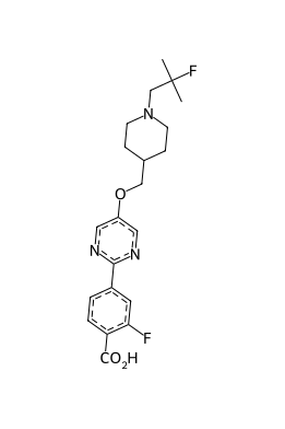 CC(C)(F)CN1CCC(COc2cnc(-c3ccc(C(=O)O)c(F)c3)nc2)CC1